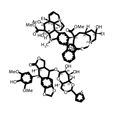 CC[C@]1(O)C[C@@H]2C[N@@](CCc3c([nH]c4ccccc34)[C@@](C(=O)OC)(c3cc4c(cc3OC)N(C)[C@H]3[C@@](O)(C(=O)OC)[C@H](OC(C)=O)[C@]5(CC)C=CCN6CC[C@]43[C@@H]65)C2)C1.COc1cc([C@@H]2c3cc4c(cc3C(O[C@@H]3O[C@@H]5COC(c6cccs6)O[C@H]5[C@H](O)[C@H]3O)C3COC(=O)[C@@H]32)OCO4)cc(OC)c1O